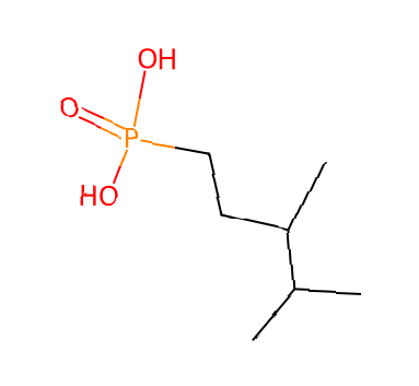 CC(C)C(C)CCP(=O)(O)O